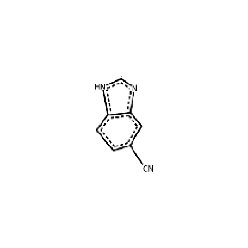 N#Cc1ccc2[nH][c]nc2c1